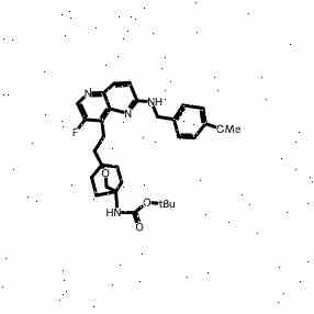 COc1ccc(CNc2ccc3ncc(F)c(CCC45CCC(NC(=O)OC(C)(C)C)(CC4)CO5)c3n2)cc1